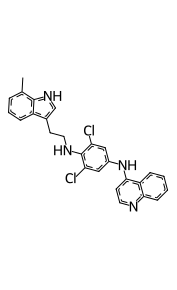 Cc1cccc2c(CCNc3c(Cl)cc(Nc4ccnc5ccccc45)cc3Cl)c[nH]c12